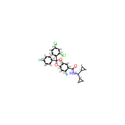 O=C(NC(C1CC1)C1CC1)c1cc2c(cc1F)OC(c1ccc(F)cc1)(c1ccc(Cl)cc1Cl)O2